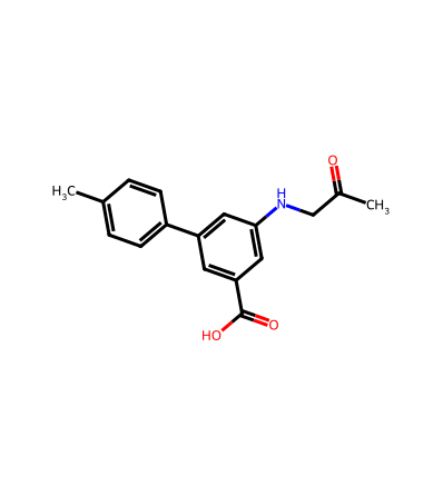 CC(=O)CNc1cc(C(=O)O)cc(-c2ccc(C)cc2)c1